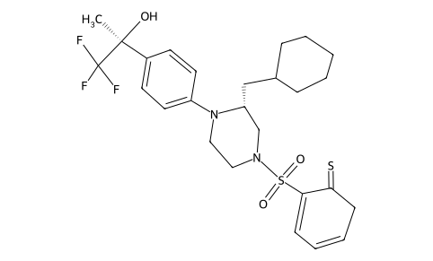 C[C@](O)(c1ccc(N2CCN(S(=O)(=O)C3=CC=CCC3=S)C[C@H]2CC2CCCCC2)cc1)C(F)(F)F